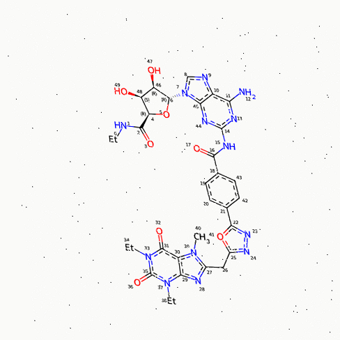 CCNC(=O)[C@@H]1O[C@@H](n2cnc3c(N)nc(NC(=O)c4ccc(-c5nnc(Cc6nc7c(c(=O)n(CC)c(=O)n7CC)n6C)o5)cc4)nc32)[C@H](O)[C@@H]1O